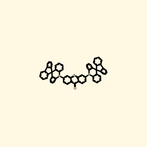 O=c1c2ccc(N3c4ccccc4C4(c5ccccc5-c5ccccc54)c4ccccc43)cc2sc2cc(N3c4ccccc4C4(c5ccccc5-c5ccccc54)c4ccccc43)ccc12